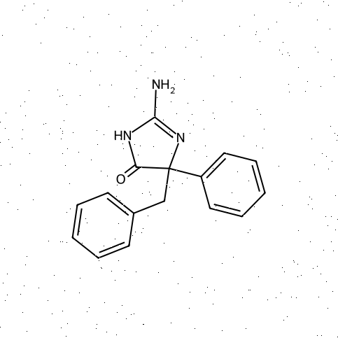 NC1=NC(Cc2ccccc2)(c2ccccc2)C(=O)N1